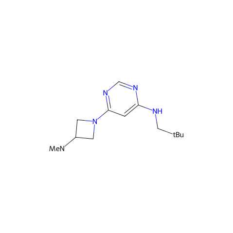 CNC1CN(c2cc(NCC(C)(C)C)ncn2)C1